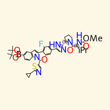 COC(=O)N[C@H](C(=O)N1CCC[C@H]1c1ncc(-c2cc(F)c3c(c2)OC(c2cnc(C4CC4)s2)n2c-3cc3cc(B4OC(C)(C)C(C)(C)O4)ccc32)[nH]1)C(C)C